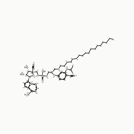 CCCCCCCCCCCCCCCCCCOC[C@H](COP(=O)(O)OC[C@@]1(C#N)O[C@@H](c2ccc3c(N)ncnn23)[C@H](O)[C@@H]1O)Oc1ccc(C#N)c(OC(C)C)c1